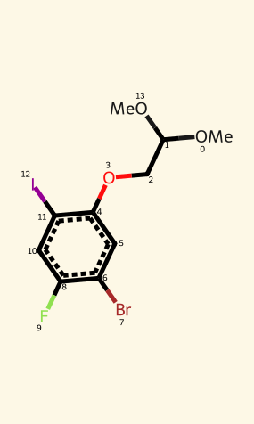 COC(COc1cc(Br)c(F)cc1I)OC